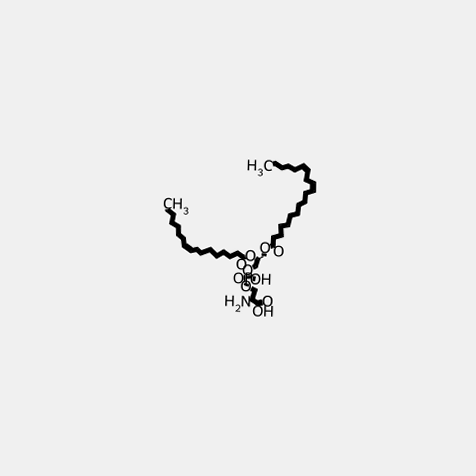 CCCCC/C=C\C/C=C\CCCCCCCCCC(=O)OC[C@H](COP(=O)(O)OC[C@H](N)C(=O)O)OC(=O)CCCCCCC/C=C\CCCCCCC